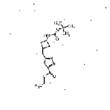 CCOC(=O)c1nnc(CC2CC(NC(=O)OC(C)(C)C)C2)s1